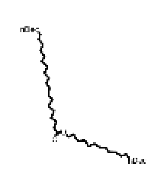 CCCCCCCCCCCCCCCCCCCCCCCCCCCCC(=O)OCCCCCCCCCCCCCCCCCCCCCC